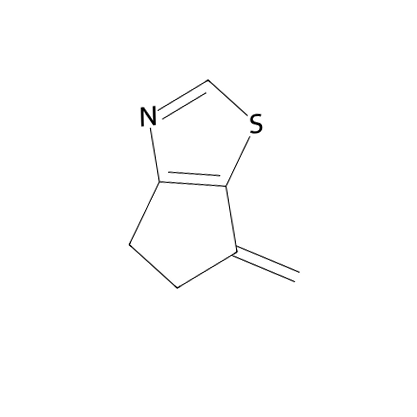 C=C1CCc2ncsc21